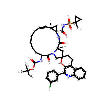 CC(C)(C)OC(=O)N[C@H]1CCCCC/C=C\[C@@H]2C[C@@]2(C(=O)NS(=O)(=O)C2(C)CC2)NC(=O)[C@@H]2C[C@]3(CCc4c(c(-c5cccc(F)c5)nc5ccccc45)O3)CN2C1=O